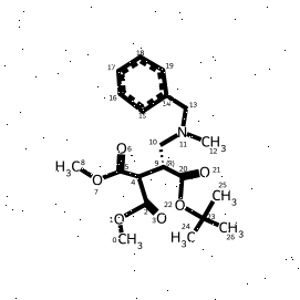 COC(=O)C(C(=O)OC)[C@H](CN(C)Cc1ccccc1)C(=O)OC(C)(C)C